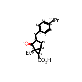 CCC12C(=O)C(Cc3ccc(C(C)C)cc3)CC1C2C(=O)O